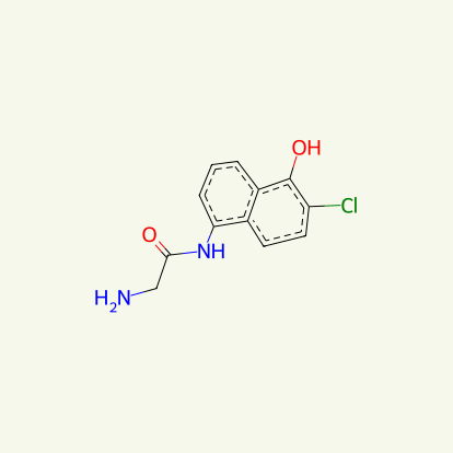 NCC(=O)Nc1cccc2c(O)c(Cl)ccc12